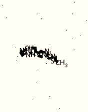 Cc1cnc(Cc2nnc3cc(-c4ccnc(Nc5ccnn5C)n4)ccn23)s1